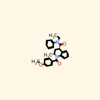 CCN(C(=O)[C@@H]1C[C@@H](C)N(C(=O)c2ccc(OC)cc2)c2ccccc21)c1ccccc1